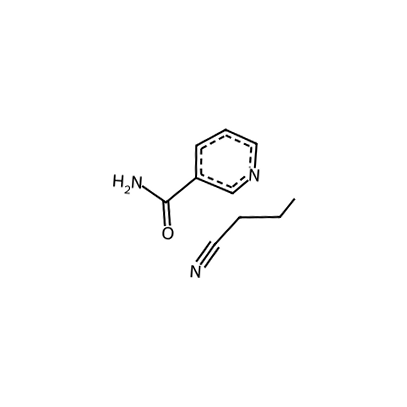 CCCC#N.NC(=O)c1cccnc1